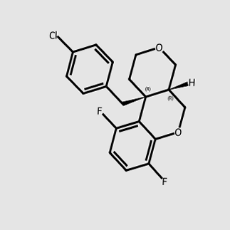 Fc1ccc(F)c2c1OC[C@H]1COCC[C@@]21Cc1ccc(Cl)cc1